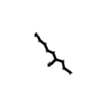 [CH2]CCC(Br)CCCCBr